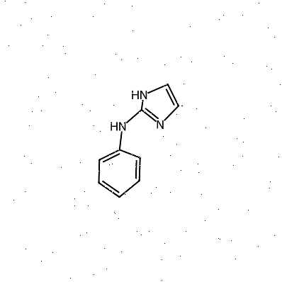 [c]1c[nH]c(Nc2ccccc2)n1